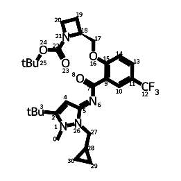 Cn1c(C(C)(C)C)c/c(=N\C(=O)c2cc(C(F)(F)F)ccc2OC[C@@H]2CCN2C(=O)OC(C)(C)C)n1CC1CC1